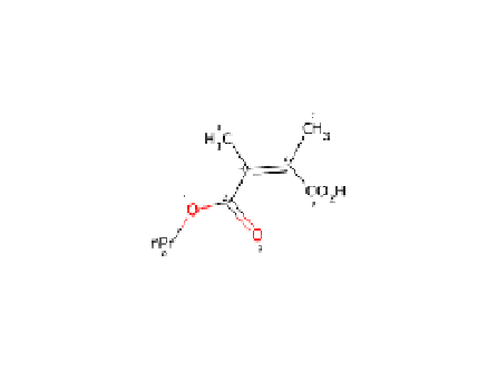 CCCOC(=O)/C(C)=C(/C)C(=O)O